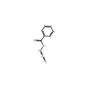 O=C=NSC(=O)c1ccccc1